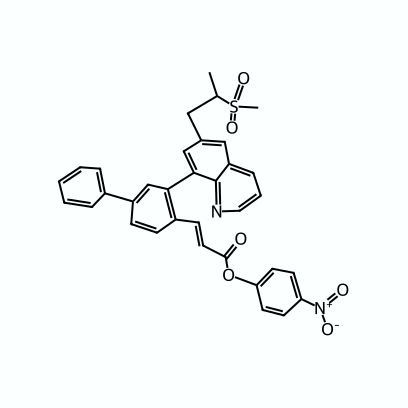 CC(Cc1cc(-c2cc(-c3ccccc3)ccc2C=CC(=O)Oc2ccc([N+](=O)[O-])cc2)c2ncccc2c1)S(C)(=O)=O